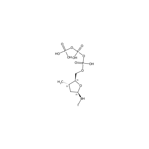 C[C@H]1C[C@H](BI)O[C@@H]1COP(=O)(O)OP(=O)(O)OP(=O)(O)O